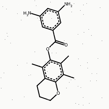 Cc1c(C)c2c(c(C)c1OC(=O)c1cc(N)cc(N)c1)CCCO2